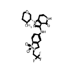 C[C@H]1CCOC[C@@H]1n1nc(Nc2ccc3c(c2)CN(CC(F)(F)F)S3(=O)=O)c2c(=O)[nH]ccc21